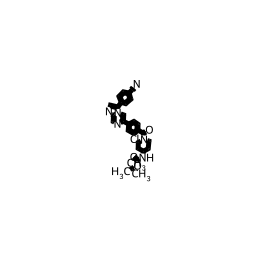 CC(C)(C)OC(=O)NC1CCN(C(=O)c2ccc(-c3cn4c(-c5ccc(C#N)cc5)cnc4cn3)cc2Cl)CC1